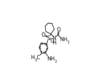 Cc1ccc(S(=O)(=O)C2(NC(N)=O)CCCCC2)cc1N